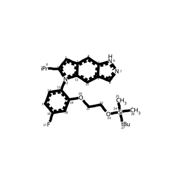 CC(C)c1cc2cc3[nH]ncc3cc2n1-c1ccc(F)cc1OCCO[Si](C)(C)C(C)(C)C